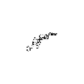 COc1ccc(C[C@@H](C(=O)O)N(C(C)=O)C2(NC(=O)OCc3ccccc3)CC2)cc1